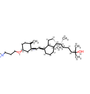 C=C1CC[C@H](OCCCN)C/C1=C/C=C1CCC[C@@]2(C)C1CC[C@@H]2[C@H](C)CCCC(C)(C)O